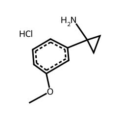 COc1cccc(C2(N)CC2)c1.Cl